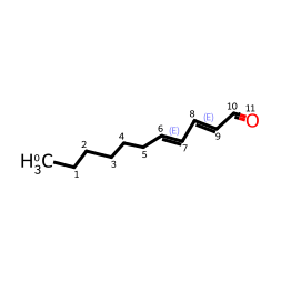 CCCCCC/C=C/C=C/[C]=O